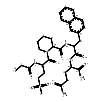 CS(=O)(=O)CCC(NC(=O)CCl)C(=O)N1CCCCC1C(=O)NC(Cc1ccc2ccccc2c1)C(=O)NC(CCC(N)=O)C(N)=O